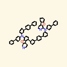 c1ccc(-c2ccc(-c3cccc(N(c4ccc(-c5ccccc5)cc4)c4ccc(-c5cccc(-c6ccc(-c7cccc(N(c8ccc(-c9ccccc9)cc8)c8nccc9c8oc8ccccc89)c7)cc6)c5)c5c4oc4cnccc45)c3)cc2)cc1